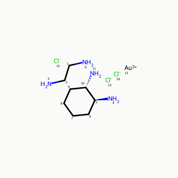 NCCN.N[C@H]1CCCC[C@@H]1N.[Au+3].[Cl-].[Cl-].[Cl-]